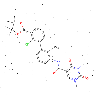 COc1c(NC(=O)c2cn(C)c(=O)n(C)c2=O)cccc1-c1cccc(B2OC(C)(C)C(C)(C)O2)c1Cl